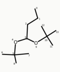 CCC[C](OC(C)(C)C)OC(C)(C)C